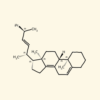 CC(C)[C@@H](C)C=C[C@@H](C)[C@H]1CCC2=C3CC=C4CCCC[C@]4(C)[C@H]3CC[C@@]21C